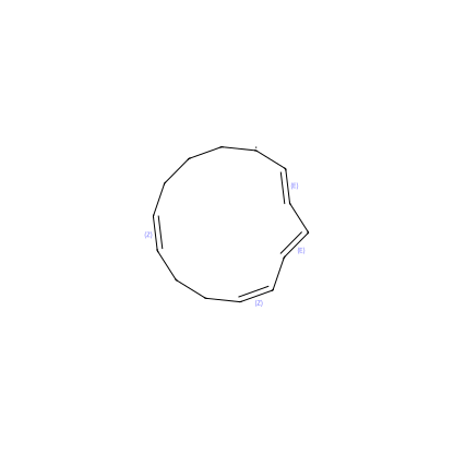 [CH]1/C=C/C=C/C=C\CC/C=C\CCC1